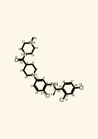 C[C@@H](Nc1cc(N2CCC(C(=O)N3CCN(C)CC3)CC2)ccc1Cl)c1ccc(Cl)cc1Cl